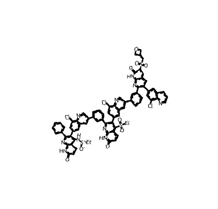 CC[S+]([O-])Nc1c(-c2cc(Cl)c3ncc(-c4cccc(-c5nc6[nH]c(=O)ccc6c(S(=O)(=O)CC)c5-c5cc(Cl)c6ncc(-c7cccc(-c8nc9[nH]c(=O)c(S(=O)(=O)CC%10COC%10)cc9cc8-c8cc(Cl)c9ncccc9c8)c7)cc6c5)c4)cc3c2)c(-c2ccccc2)nc2[nH]c(=O)ccc12